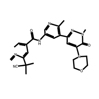 C=N/C(=C\C(=C/C)C(=O)Nc1cnc(C)c(-c2cc(N3CCOCC3)c(=O)n(C)n2)c1)C(C)(C)C#N